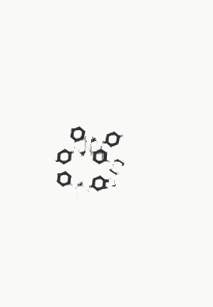 CCOC(=O)c1ccc(NC(=O)Nc2ccc(F)cc2)cc1.O=C(Nc1ccc(F)cc1)Nc1ccc(N2CCOCC2)cc1.O=C(Nc1ccc(F)cc1)Nc1ccc2ncsc2c1